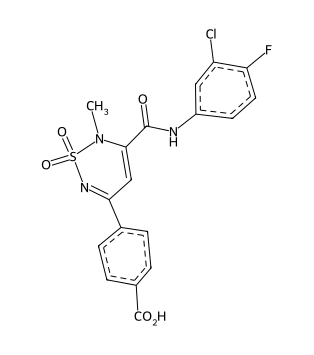 CN1C(C(=O)Nc2ccc(F)c(Cl)c2)=CC(c2ccc(C(=O)O)cc2)=NS1(=O)=O